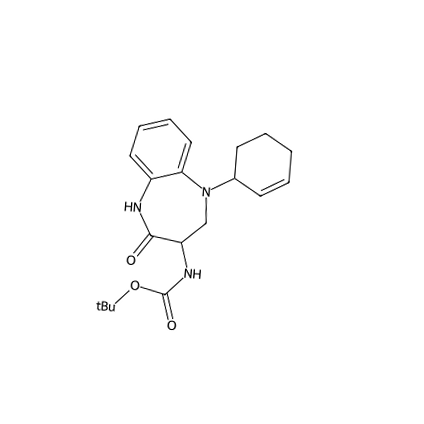 CC(C)(C)OC(=O)NC1CN(C2C=CCCC2)c2ccccc2NC1=O